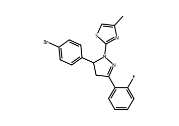 Cc1csc(N2N=C(c3ccccc3F)CC2c2ccc(Br)cc2)n1